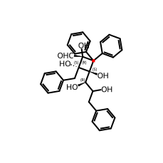 O=C[C@@](O)(Cc1ccccc1)[C@](O)(Cc1ccccc1)[C@](O)(Cc1ccccc1)[C@H](O)C(O)Cc1ccccc1